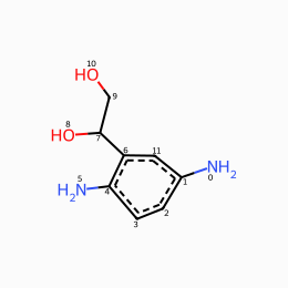 Nc1ccc(N)c(C(O)CO)c1